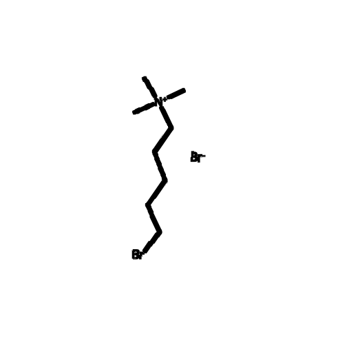 C[N+](C)(C)CCCCCBr.[Br-]